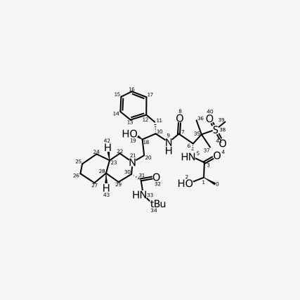 C[C@@H](O)C(=O)N[C@H](C(=O)N[C@@H](Cc1ccccc1)[C@H](O)CN1C[C@H]2CCCC[C@H]2C[C@H]1C(=O)NC(C)(C)C)C(C)(C)S(C)(=O)=O